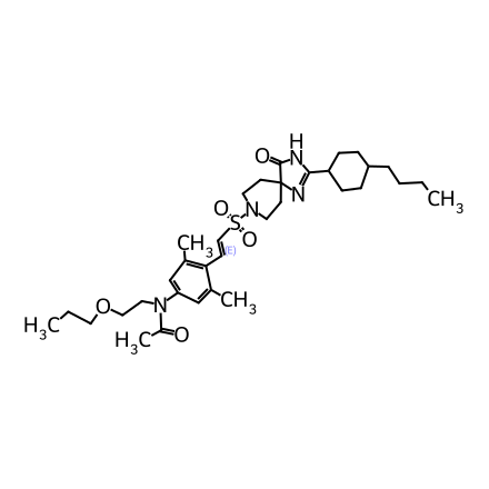 CCCCC1CCC(C2=NC3(CCN(S(=O)(=O)/C=C/c4c(C)cc(N(CCOCCC)C(C)=O)cc4C)CC3)C(=O)N2)CC1